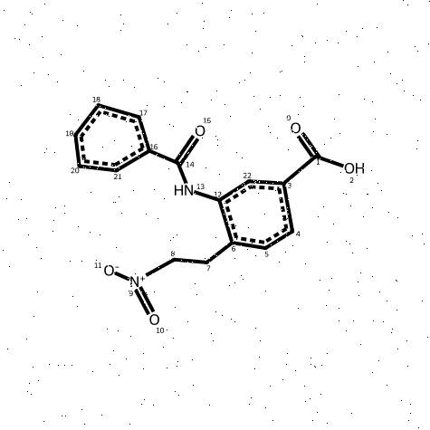 O=C(O)c1ccc(CC[N+](=O)[O-])c(NC(=O)c2ccccc2)c1